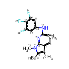 C=C(/N=C1\C(=C/C)C(C)=C(CCCC)N1C)Nc1cc(F)c(F)c(F)c1